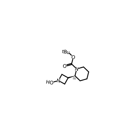 CC(C)(C)OC(=O)N1CCCC[C@H]1C1CN(O)C1